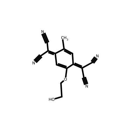 Cc1cc(=C(C#N)C#N)c(OCCO)cc1=C(C#N)C#N